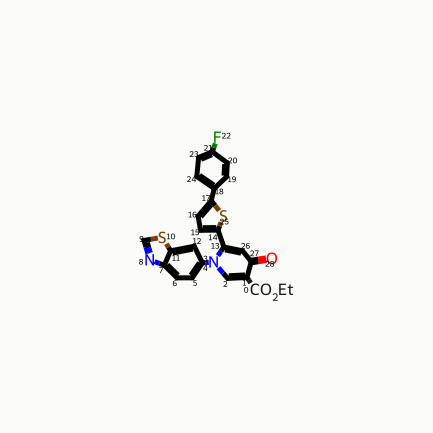 CCOC(=O)c1cn(-c2ccc3ncsc3c2)c(-c2ccc(-c3ccc(F)cc3)s2)cc1=O